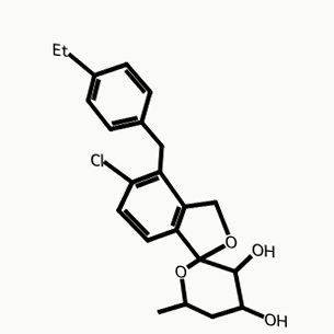 CCc1ccc(Cc2c(Cl)ccc3c2COC32OC(C)CC(O)C2O)cc1